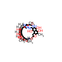 CO[C@H]1/C=C/O[C@]2(C)Cc3c(c(C)c(O)c4c(O)c(c(/C=N/N5CCN(C)CC5)c(O)c34)NC(=O)/C(C)=C\C=C\[C@H](C)[C@H](O)[C@@H](C)[C@@H](O)[C@@H](C)[C@](O)(OC(C)=O)[C@@H]1C)O2